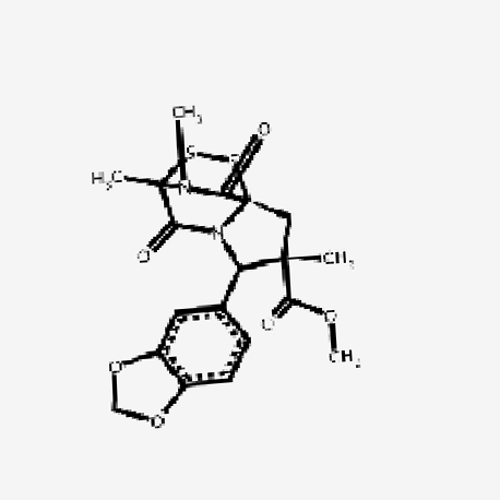 COC(=O)[C@@]1(C)C[C@@]23SSC(C)(C(=O)N2C1c1ccc2c(c1)OCO2)N(C)C3=O